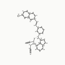 N#CCC[C@H](c1cccc(C=Cc2ccc3ccc(Cl)cc3n2)c1)n1ccc2cccc(OCC#N)c21